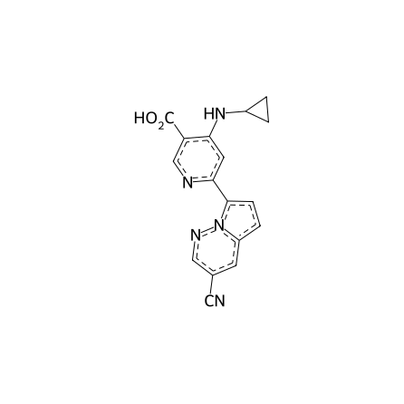 N#Cc1cnn2c(-c3cc(NC4CC4)c(C(=O)O)cn3)ccc2c1